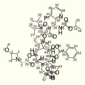 COC1CN(C[C@@H]2O[C@@H]3C4=C(C)[C@@H](OC(=O)[C@H](O[Si](C(C)C)(C(C)C)C(C)C)[C@@H](NC(=O)OC(C)C)c5ncccc5F)C[C@@](O)([C@@H](OC(=O)c5ccccc5)[C@H]5[C@@](C)(CC[C@H]6OC[C@]65OC(C)=O)[C@@H]3O2)C4(C)C)C1